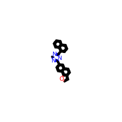 c1ccc2c(-c3ncnc(-c4ccc5c(ccc6ccoc65)c4)n3)cccc2c1